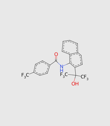 O=C(Nc1c(C(O)(C(F)(F)F)C(F)(F)F)ccc2ccccc12)c1ccc(C(F)(F)F)cc1